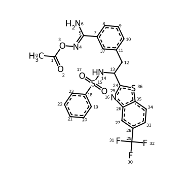 CC(=O)ON=C(N)c1cccc(CC(NS(=O)(=O)c2ccccc2)c2nc3cc(C(F)(F)F)ccc3s2)c1